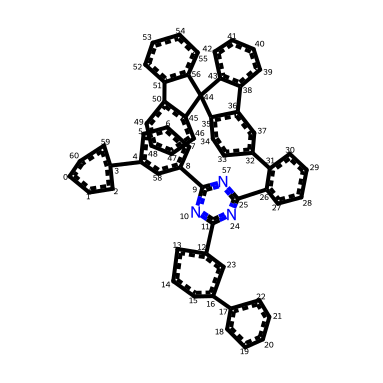 c1ccc(-c2cccc(-c3nc(-c4cccc(-c5ccccc5)c4)nc(-c4ccccc4-c4ccc5c(c4)-c4ccccc4C54c5ccccc5-c5ccccc54)n3)c2)cc1